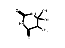 CC1C(=O)NC(=O)NC1(O)O